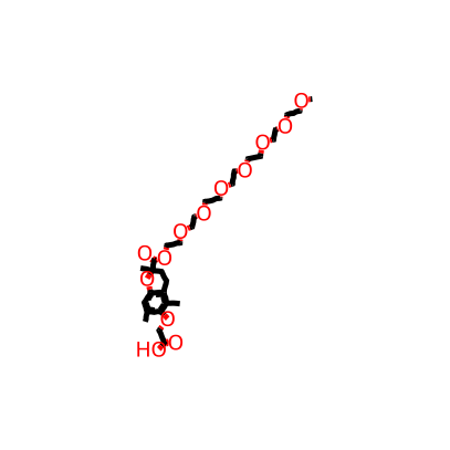 COCCOCCOCCOCCOCCOCCOCCOC(=O)C1(C)CCc2c(cc(C)c(OCC(=O)O)c2C)O1